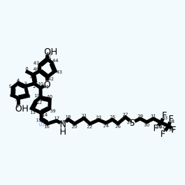 CC1=C(c2cccc(O)c2)C(c2ccc(/C=C\CNCCCCCCCCCSCCCC(F)(F)C(F)(F)F)cc2)Oc2ccc(O)cc21